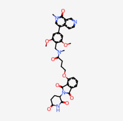 COc1cc(-c2cn(C)c(=O)c3cnccc23)cc(OC)c1CN(C)C(=O)CCCOc1cccc2c1C(=O)N(C1CCC(=O)NC1=O)C2=O